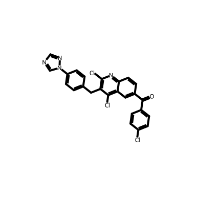 O=C(c1ccc(Cl)cc1)c1ccc2nc(Cl)c(Cc3ccc(-n4cncn4)cc3)c(Cl)c2c1